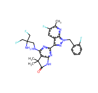 Cc1nc2c(cc1F)c(-c1nc(NCC(N)(CF)CF)c3c(n1)NC(=O)C3(C)C)nn2Cc1ccccc1F